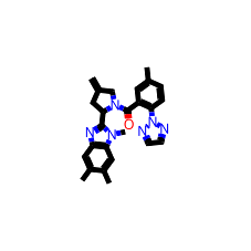 C=C1CC(c2nc3cc(C)c(C)cc3n2C)N(C(=O)c2cc(C)ccc2-n2nccn2)C1